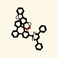 c1ccc(-c2cc(-c3ccccc3)nc(-c3ccc4c(c3)C3(c5ccccc5Oc5cc6c(cc53)oc3ccccc36)c3ccccc3-c3ccccc3-4)n2)cc1